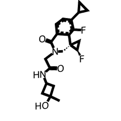 CC1(O)CC(NC(=O)CN2C[C@@]3(C[C@H]3F)c3c(ccc(C4CC4)c3F)C2=O)C1